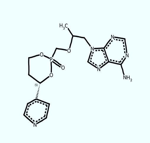 CC(Cn1cnc2c(N)ncnc21)OCP1(=O)OCC[C@@H](c2ccncc2)O1